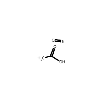 [CH2]C(=O)O.[O]=[Ti]